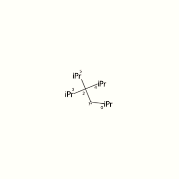 CC(C)[C]C(C(C)C)(C(C)C)C(C)C